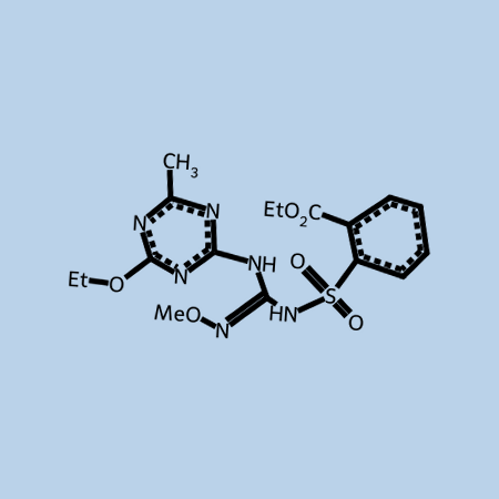 CCOC(=O)c1ccccc1S(=O)(=O)NC(=NOC)Nc1nc(C)nc(OCC)n1